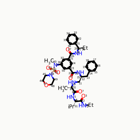 CCNC(=O)[C@@H](NC(=O)[C@H](C)NC[C@H](Cc1ccccc1)NC(=O)c1cc(C(=O)N[C@H](CC)c2ccccc2)cc(N(C)S(=O)(=O)N2CCOCC2)c1)C(C)C